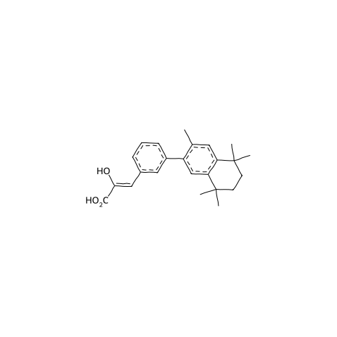 Cc1cc2c(cc1-c1cccc(C=C(O)C(=O)O)c1)C(C)(C)CCC2(C)C